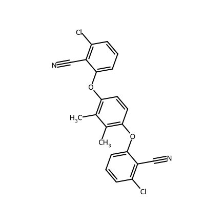 Cc1c(Oc2cccc(Cl)c2C#N)ccc(Oc2cccc(Cl)c2C#N)c1C